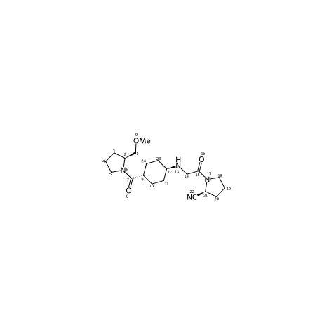 COC[C@@H]1CCCN1C(=O)[C@H]1CC[C@H](NCC(=O)N2CCC[C@H]2C#N)CC1